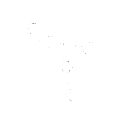 CC(C)CC(N)C(=O)NC(Cc1ccc(OCc2ccccc2)cc1)C(=O)N1CCN(Cc2ccccc2)CC1